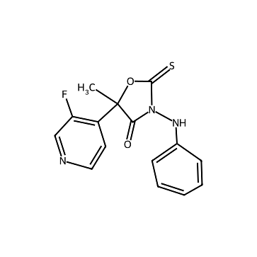 CC1(c2ccncc2F)OC(=S)N(Nc2ccccc2)C1=O